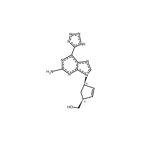 Nc1nc(-c2nnn[nH]2)c2ncn([C@H]3C=C[C@@H](CO)C3)c2n1